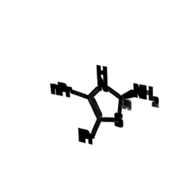 CCCC1=C(C(C)C)S[C@H](N)N1